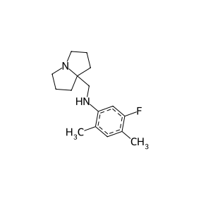 Cc1cc(C)c(NCC23CCCN2CCC3)cc1F